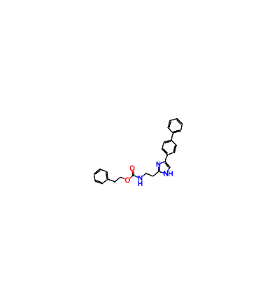 O=C(NCCc1nc(-c2ccc(-c3ccccc3)cc2)c[nH]1)OCCc1ccccc1